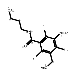 CC(=O)Nc1c(I)c(COC(C)=O)c(I)c(C(=O)NCCCOC(C)=O)c1I